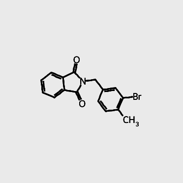 Cc1ccc(CN2C(=O)c3ccccc3C2=O)cc1Br